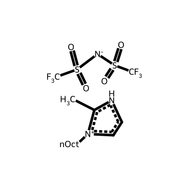 CCCCCCCC[n+]1cc[nH]c1C.O=S(=O)([N-]S(=O)(=O)C(F)(F)F)C(F)(F)F